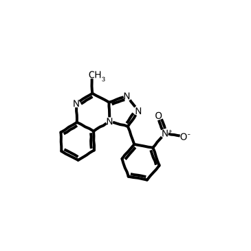 Cc1nc2ccccc2n2c(-c3ccccc3[N+](=O)[O-])nnc12